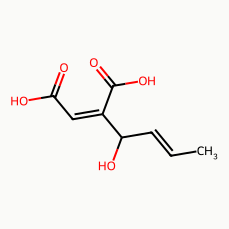 CC=CC(O)/C(=C/C(=O)O)C(=O)O